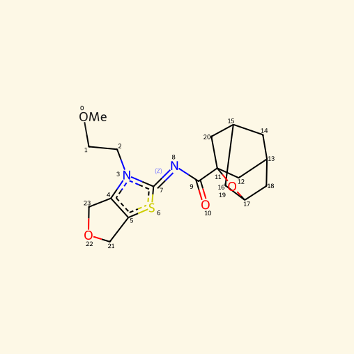 COCCn1c2c(s/c1=N\C(=O)C13CC4CC(CC(C4)O1)C3)COC2